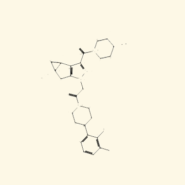 Cc1cccc(C2CCN(C(=O)Cn3nc(C(=O)N4CC[C@@H](O)[C@@H](F)C4)c4c3C[C@H]3C[C@@H]43)CC2)c1C